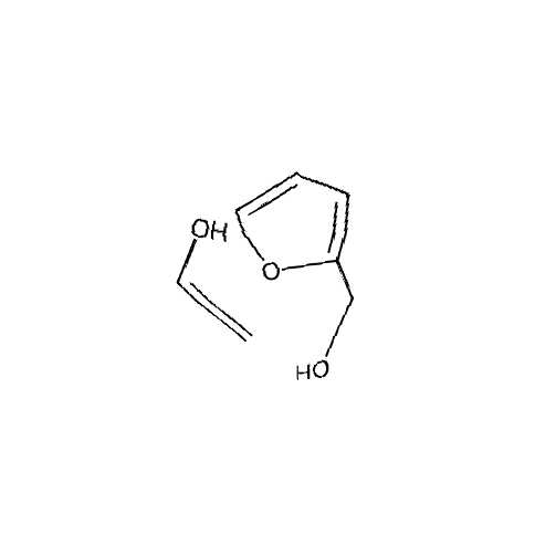 C=CO.OCc1ccco1